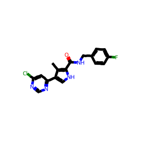 Cc1c(-c2cc(Cl)ncn2)c[nH]c1C(=O)NCc1ccc(F)cc1